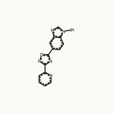 CC(C)n1cnc2cc(-c3nc(-c4ccccn4)no3)ccc21